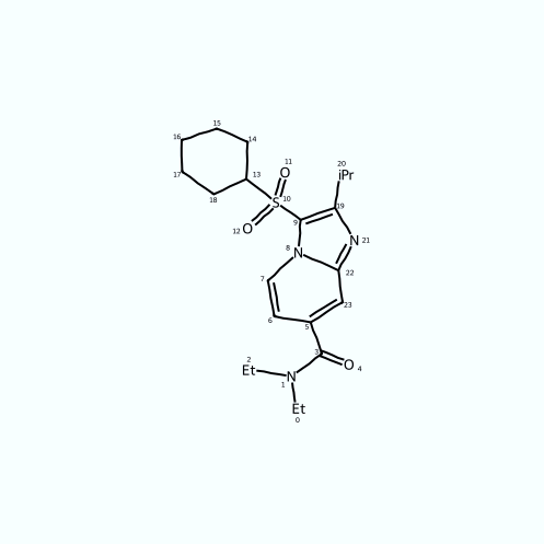 CCN(CC)C(=O)c1ccn2c(S(=O)(=O)C3CCCCC3)c(C(C)C)nc2c1